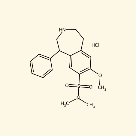 COc1cc2c(cc1S(=O)(=O)N(C)C)C(c1ccccc1)CNCC2.Cl